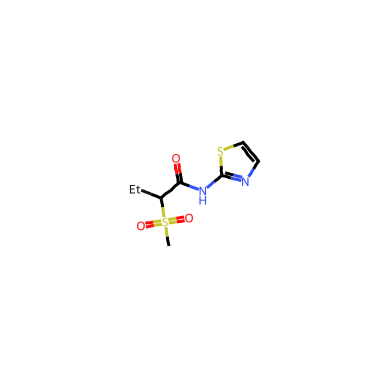 CCC(C(=O)Nc1nccs1)S(C)(=O)=O